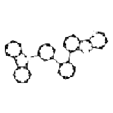 c1cc(-c2ccccc2-c2cccc3c2oc2cccnc23)cc(-n2c3ccccc3c3ccccc32)c1